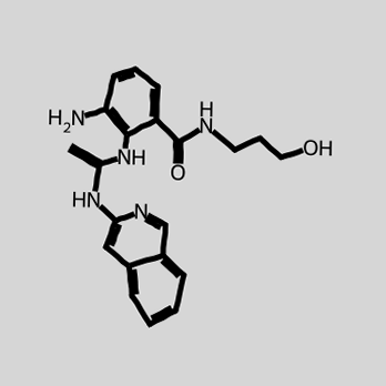 C=C(Nc1cc2ccccc2cn1)Nc1c(N)cccc1C(=O)NCCCO